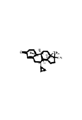 C[C@]1(C#N)CC[C@H]2[C@H]3[C@H](CC[C@@]21C)[C@H]1CCC(=O)C=C1C[C@@H]3C1CC1